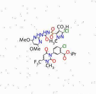 CC(C)OC(=O)c1cc(-n2c(=O)cc(C(F)(F)F)n(C)c2=O)ccc1Cl.COc1cc(OC)nc(NC(=O)NS(=O)(=O)c2c(C(=O)O)c(Cl)nn2C)n1